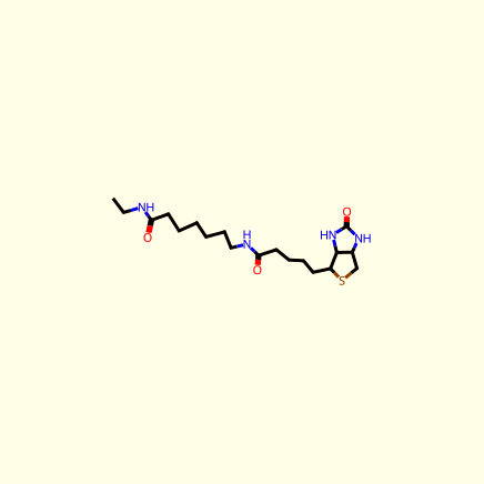 CCNC(=O)CCCCCCNC(=O)CCCCC1SCC2NC(=O)NC21